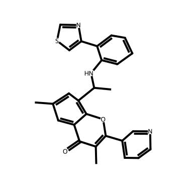 Cc1cc(C(C)Nc2ccccc2-c2cscn2)c2oc(-c3cccnc3)c(C)c(=O)c2c1